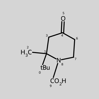 CC(C)(C)C1(C)CC(=O)CCN1C(=O)O